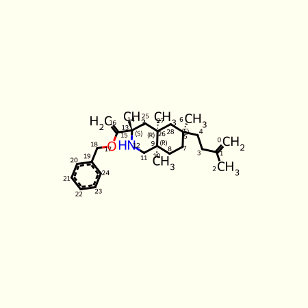 C=C(C)CC[C@@]1(C)CC[C@@]2(C)CN[C@](C)(C(=C)OCc3ccccc3)C[C@@]2(C)C1